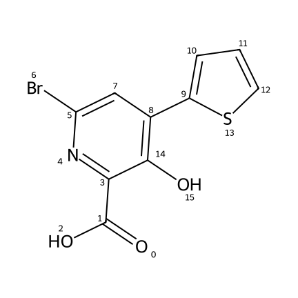 O=C(O)c1nc(Br)cc(-c2cccs2)c1O